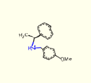 COc1ccc(N[C@@H](C)c2ccccc2)cc1